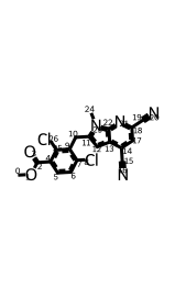 COC(=O)c1ccc(Cl)c(Cc2cc3c(C#N)cc(C#N)nc3n2C)c1Cl